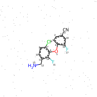 N#Cc1ccc(Oc2c(Cl)ccc(CN)c2F)c(F)c1